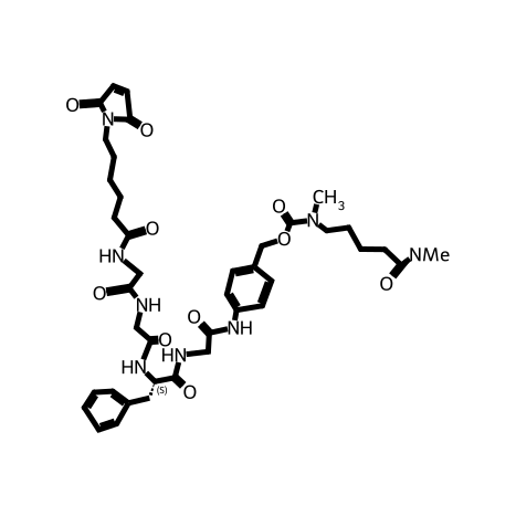 CNC(=O)CCCCN(C)C(=O)OCc1ccc(NC(=O)CNC(=O)[C@H](Cc2ccccc2)NC(=O)CNC(=O)CNC(=O)CCCCCN2C(=O)C=CC2=O)cc1